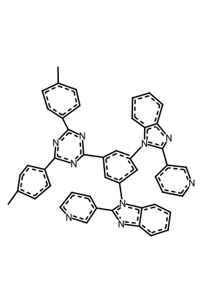 Cc1ccc(-c2nc(-c3ccc(C)cc3)nc(-c3cc(-n4c(-c5cccnc5)nc5ccccc54)cc(-n4c(-c5cccnc5)nc5ccccc54)c3)n2)cc1